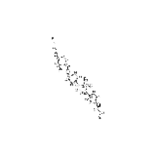 CCCCOc1ccc(COc2ccc(-c3ccc(-c4ccc(OCCC)cc4)c(F)c3F)cc2)c(F)c1